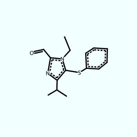 CCn1c(C=O)nc(C(C)C)c1Sc1ccccc1